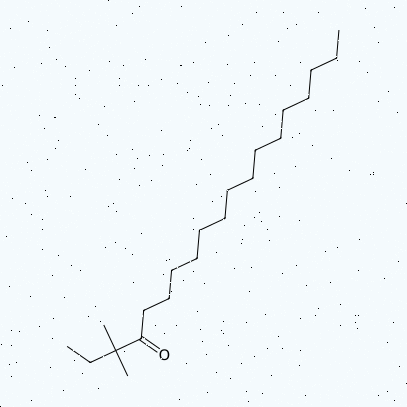 CCCCCCCCCCCCCCCC(=O)C(C)(C)CC